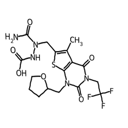 Cc1c(CN(NC(=O)O)C(N)=O)sc2c1c(=O)n(CC(F)(F)F)c(=O)n2CC1CCCO1